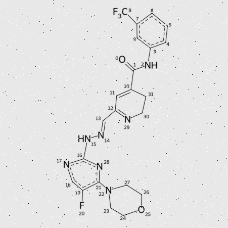 O=C(Nc1cccc(C(F)(F)F)c1)C1=CC(/C=N/Nc2ncc(F)c(N3CCOCC3)n2)=NCC1